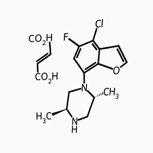 C[C@@H]1CN[C@@H](C)CN1c1cc(F)c(Cl)c2ccoc12.O=C(O)C=CC(=O)O